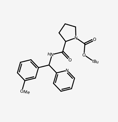 COc1cccc(C(NC(=O)C2CCCN2C(=O)OC(C)(C)C)c2ccccn2)c1